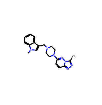 Cn1cc(CN2CCN(c3ccc4nnc(C(F)(F)F)n4n3)CC2)c2ccccc21